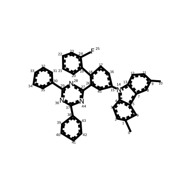 Cc1ccc2c(c1)c1cc(C)ccc1n2-c1ccc(-c2ccccc2F)c(-c2nc(-c3ccccc3)nc(-c3ccccc3)n2)c1